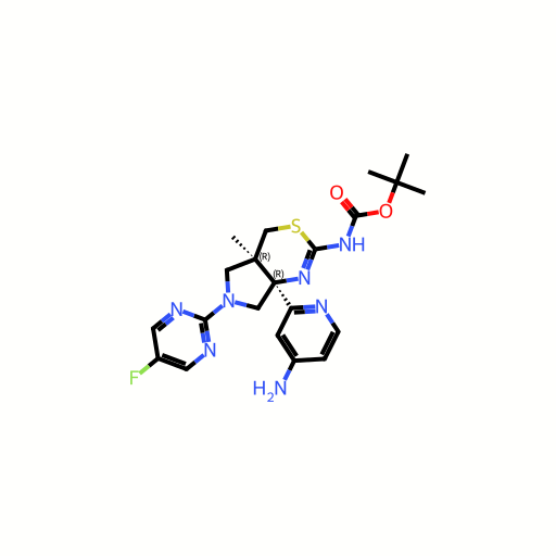 CC(C)(C)OC(=O)NC1=N[C@@]2(c3cc(N)ccn3)CN(c3ncc(F)cn3)C[C@@]2(C)CS1